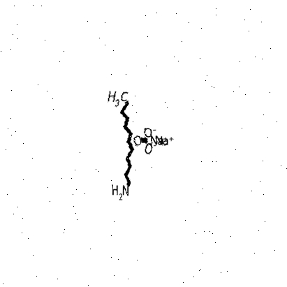 CCCCCCCCCCCCN.O=C([O-])[O-].[Na+].[Na+]